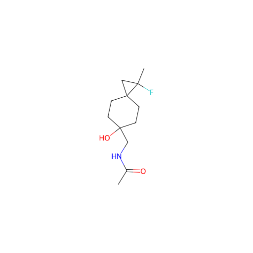 CC(=O)NCC1(O)CCC2(CC1)CC2(C)F